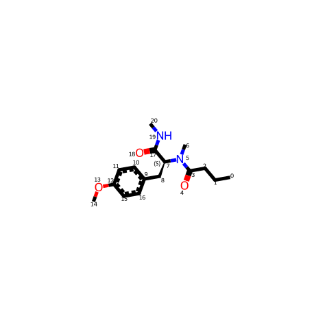 CCCC(=O)N(C)[C@@H](Cc1ccc(OC)cc1)C(=O)NC